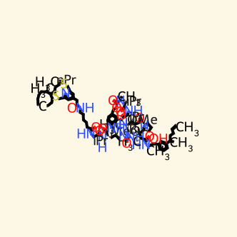 C/C=C\CCC(C)c1cccc([C@H](O)[C@@H](C)NC(=O)[C@H](C)[C@@H](OC)[C@@H]2CCCN2C(=O)C[C@@H](OC)[C@H]([C@@H](C)CC)N(C)C(=O)[C@@H](NC(=O)C(C(C)C)N(C)C(=O)OCc2ccc(NC(=O)[C@H](CCCNC(N)=O)NC(=O)[C@@H](NC(=O)CCCCCNC(=O)Cc3cc4nc(c3)CSC(C)(C3CCCCCCCCC3)CC(C)(CCC)SC4)C(C)C)cc2)C(C)C)c1